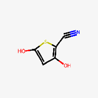 N#Cc1sc(O)cc1O